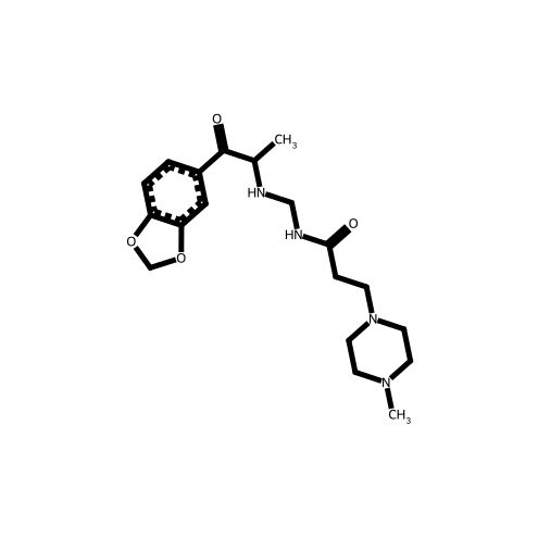 CC(NCNC(=O)CCN1CCN(C)CC1)C(=O)c1ccc2c(c1)OCO2